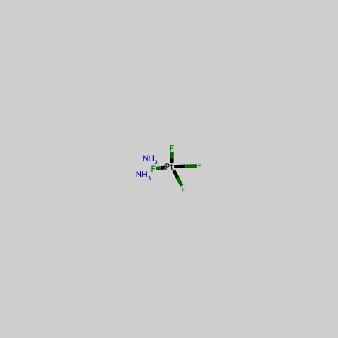 N.N.[F][Pt]([F])([F])[F]